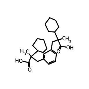 CC(Cc1cccc(CC(C)(C(=O)O)C2CCCCC2)c1)(C(=O)O)C1CCCCC1